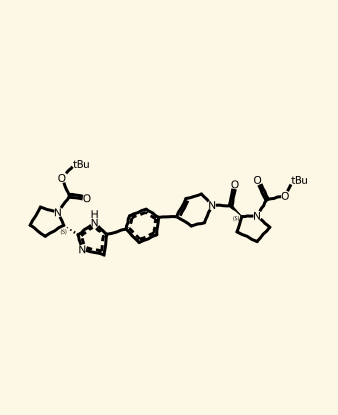 CC(C)(C)OC(=O)N1CCC[C@H]1C(=O)N1CC=C(c2ccc(-c3cnc([C@@H]4CCCN4C(=O)OC(C)(C)C)[nH]3)cc2)CC1